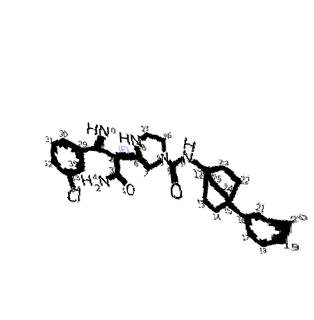 N=C(/C(C(N)=O)=C1/CN(C(=O)NC23CCC(c4ccccc4)(CC2)CC3)CCN1)c1cccc(Cl)c1